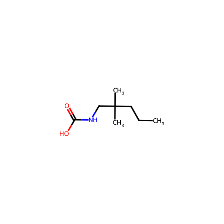 CCCC(C)(C)CNC(=O)O